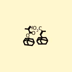 C=C(C)C(=O)OC12CC3CC(CC(C3)C1)C2.CC(=CC12CC3CC(CC(C3)C1)C2)C(=O)O